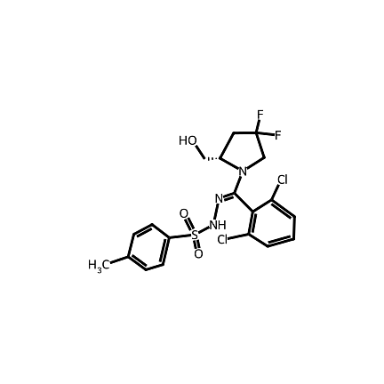 Cc1ccc(S(=O)(=O)N/N=C(\c2c(Cl)cccc2Cl)N2CC(F)(F)C[C@H]2CO)cc1